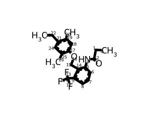 CCC(=O)Nc1cccc(C(F)(F)F)c1COc1cc(C)c(CC)cc1C